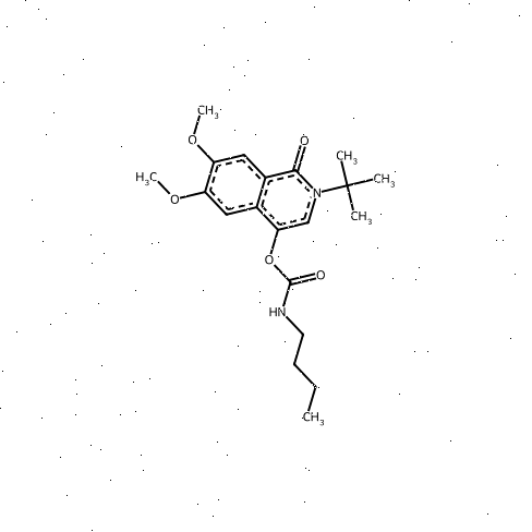 CCCCNC(=O)Oc1cn(C(C)(C)C)c(=O)c2cc(OC)c(OC)cc12